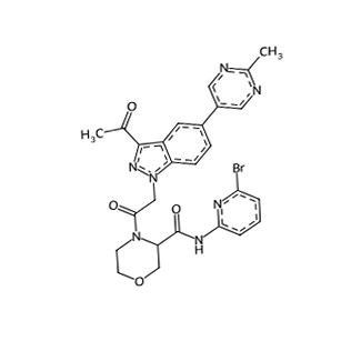 CC(=O)c1nn(CC(=O)N2CCOCC2C(=O)Nc2cccc(Br)n2)c2ccc(-c3cnc(C)nc3)cc12